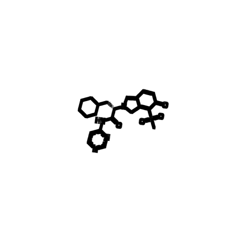 CS(=O)(=O)C1=C2CN([C@@H](CC3CCCCC3)C(=O)Nc3ccncn3)C=C2C=CC1=O